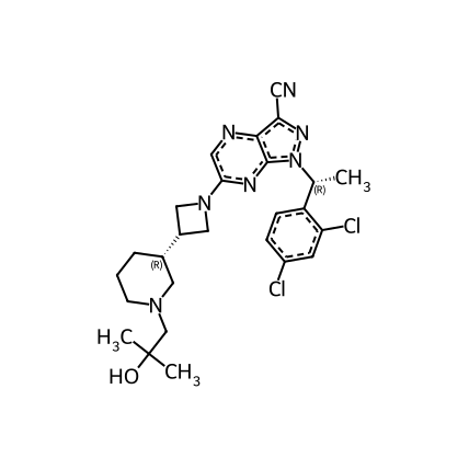 C[C@H](c1ccc(Cl)cc1Cl)n1nc(C#N)c2ncc(N3CC([C@H]4CCCN(CC(C)(C)O)C4)C3)nc21